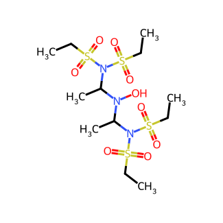 CCS(=O)(=O)N(C(C)N(O)C(C)N(S(=O)(=O)CC)S(=O)(=O)CC)S(=O)(=O)CC